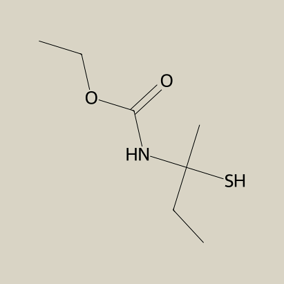 CCOC(=O)NC(C)(S)CC